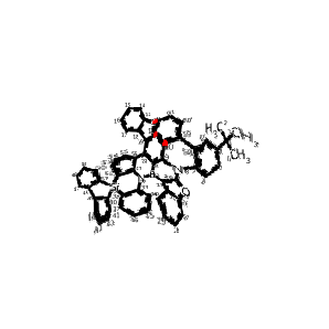 CC(C)(C)c1ccc(N2c3cc4oc5ccccc5c4c4c3B(c3c2oc2ccccc32)N2c3ccccc3[Si]3(c5ccccc5-c5ccccc53)c3cccc-4c32)c(-c2ccccc2)c1